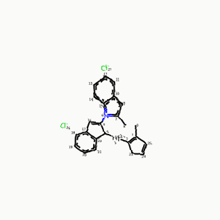 CC1=[C]([Hf+2][CH]2C(n3c(C)cc4ccccc43)=Cc3ccccc32)CC=C1.[Cl-].[Cl-]